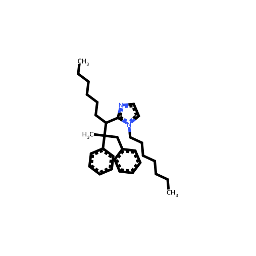 CCCCCCCn1ccnc1C(CCCCCC)C(C)(Cc1ccccc1)c1ccccc1